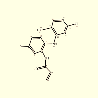 C=CC(=O)Nc1cc(C)ccc1Nc1nc(Cl)ncc1C(F)(F)F